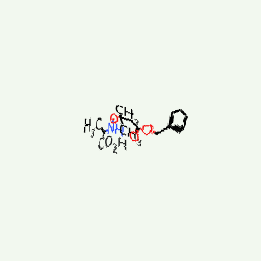 CC(NOC(C)(C)CC(=O)OCc1ccccc1)C(=O)O